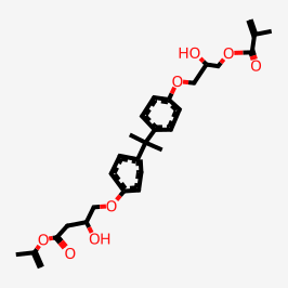 C=C(C)OC(=O)CC(O)COc1ccc(C(C)(C)c2ccc(OCC(O)COC(=O)C(=C)C)cc2)cc1